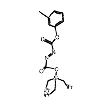 Cc1cccc(OC(=O)N=NC(=O)O[Si](CC(C)C)(CC(C)C)CC(C)C)c1